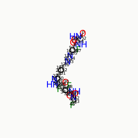 O=C1CC[C@@H](NC(=O)c2ccc(N3CCN(CCc4ccc(-c5cnc6[nH]cc(C(=O)c7c(F)ccc(NS(=O)(=O)N8CC[C@@H](F)C8)c7F)c6c5)cc4)CC3)cc2F)C(=O)N1